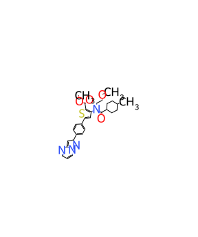 COCCN(C(=O)C1CCC(C)CC1)c1cc(-c2ccc(-c3cc4ncccn4n3)cc2)sc1C(=O)OC